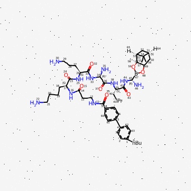 CCCCc1ccc(-c2ccc(C(=O)NCCC(=O)N[C@@H](CCCCN)C(=O)N[C@@H](CCCN)C(=O)N[C@@H](N)C(=O)N[C@@H](CC(C)C)C(=O)N[C@@H](N)B3OC4C[C@@H]5C[C@@H](C5(C)C)[C@]4(C)O3)cc2)cc1